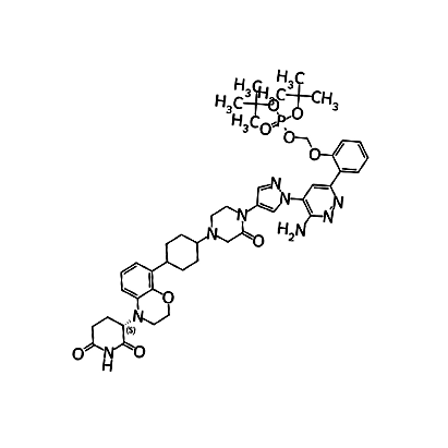 CC(C)(C)OP(=O)(OCOc1ccccc1-c1cc(-n2cc(N3CCN(C4CCC(c5cccc6c5OCCN6[C@H]5CCC(=O)NC5=O)CC4)CC3=O)cn2)c(N)nn1)OC(C)(C)C